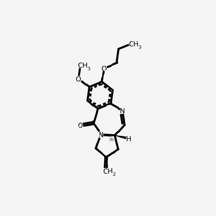 C=C1C[C@H]2C=Nc3cc(OCCC)c(OC)cc3C(=O)N2C1